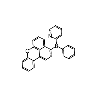 c1ccc(B(c2ccccn2)c2ccc3c4c(cccc24)Oc2ccccc2-3)cc1